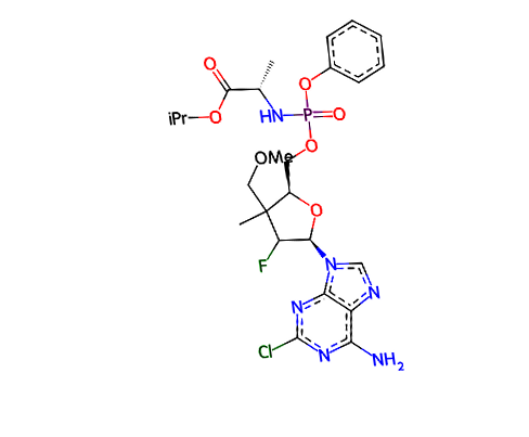 COCC1(C)C(F)[C@H](n2cnc3c(N)nc(Cl)nc32)O[C@@H]1COP(=O)(N[C@@H](C)C(=O)OC(C)C)Oc1ccccc1